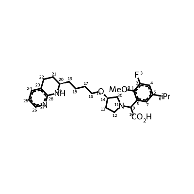 COc1c(F)cc(C(C)C)cc1C(C(=O)O)N1CC[C@@H](OCCCC[C@@H]2CCc3cccnc3N2)C1